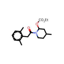 CCOC(=O)OC1CC(C)CCN1C(=O)Cc1c(C)cccc1C